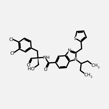 CCC(CC)n1c(Cc2cccs2)nc2cc(C(=O)N[C@@](C=O)(CO)Cc3ccc(Cl)c(Cl)c3)ccc21